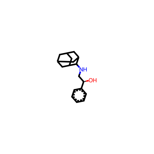 O[C@H](CNC1C2CC3CC(C2)CC1C3)c1ccccc1